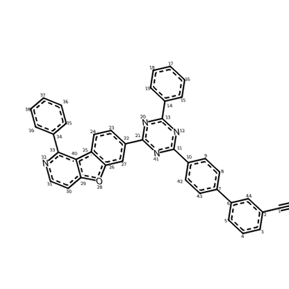 N#Cc1cccc(-c2ccc(-c3nc(-c4ccccc4)nc(-c4ccc5c(c4)oc4ccnc(-c6ccccc6)c45)n3)cc2)c1